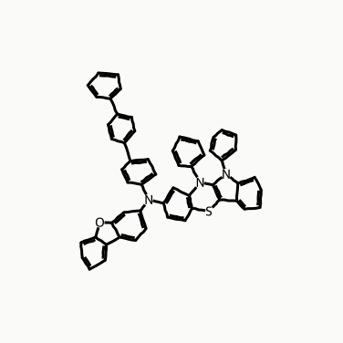 c1ccc(-c2ccc(-c3ccc(N(c4ccc5c(c4)N(c4ccccc4)c4c(c6ccccc6n4-c4ccccc4)S5)c4ccc5c(c4)oc4ccccc45)cc3)cc2)cc1